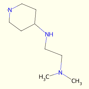 CN(C)CCNC1CC[N]CC1